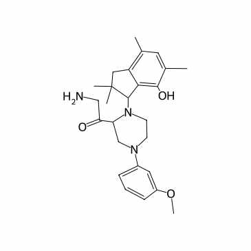 COc1cccc(N2CCN(C3c4c(O)c(C)cc(C)c4CC3(C)C)C(C(=O)CN)C2)c1